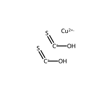 O[C-]=S.O[C-]=S.[Cu+2]